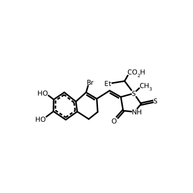 CCC(C(=O)O)S1(C)C(=S)NC(=O)/C1=C\C1=C(Br)c2cc(O)c(O)cc2CC1